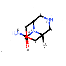 CCC12CNCC(COC1)N2C(N)=O